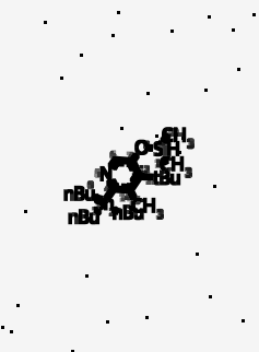 CCC[CH2][Sn]([CH2]CCC)([CH2]CCC)[c]1ncc(O[SiH](C)C)c(C(C)(C)C)c1C